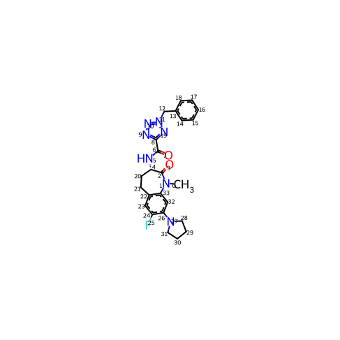 CN1C(=O)[C@@H](NC(=O)c2nnn(Cc3ccccc3)n2)CCc2cc(F)c(N3CCCC3)cc21